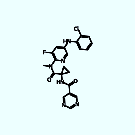 CN(C(=O)C1(NC(=O)c2cncnc2)CC1)c1ncc(Nc2ccccc2Cl)cc1F